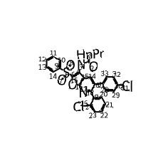 CCCC(=O)Nc1c(S(=O)(=O)c2ccccc2)oc2nc(-c3ccccc3Cl)c(-c3ccc(Cl)cc3)cc12